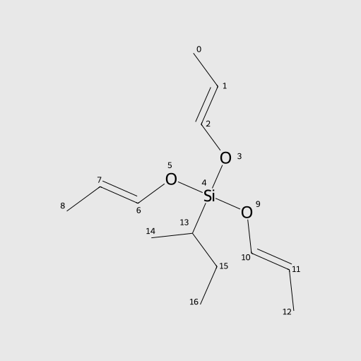 CC=CO[Si](OC=CC)(OC=CC)C(C)CC